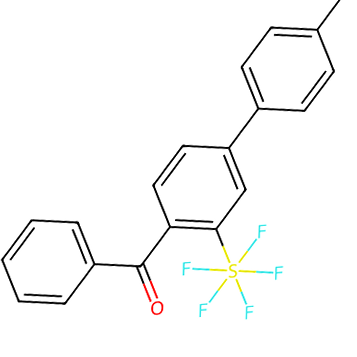 Cc1ccc(-c2ccc(C(=O)c3ccccc3)c(S(F)(F)(F)(F)F)c2)cc1